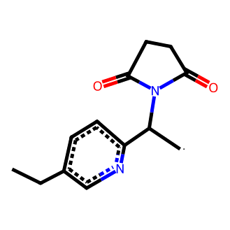 [CH2]C(c1ccc(CC)cn1)N1C(=O)CCC1=O